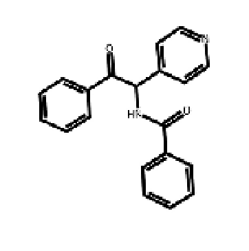 O=C(NC(C(=O)c1ccccc1)c1ccncc1)c1ccccc1